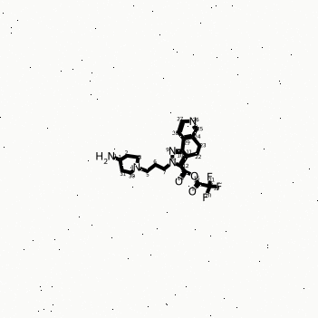 NC1CCN(CCCn2nc3c(c2C(=O)OC(=O)C(F)(F)F)CCc2cnccc2-3)CC1